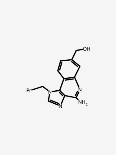 CC(C)Cn1cnc2c(N)nc3cc(CO)ccc3c21